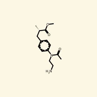 COC(=O)[C@@H](C)Cc1ccc(N(CCN)C(C)=O)cc1